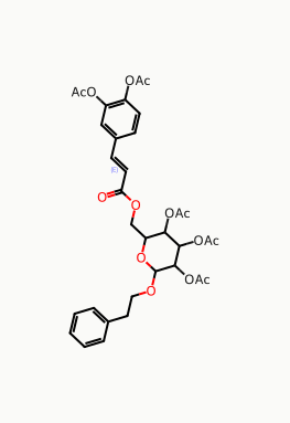 CC(=O)Oc1ccc(/C=C/C(=O)OCC2OC(OCCc3ccccc3)C(OC(C)=O)C(OC(C)=O)C2OC(C)=O)cc1OC(C)=O